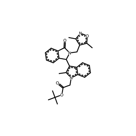 Cc1noc(C)c1CN1C(=O)c2ccccc2C1c1c(C)n(CC(=O)OC(C)(C)C)c2ccccc12